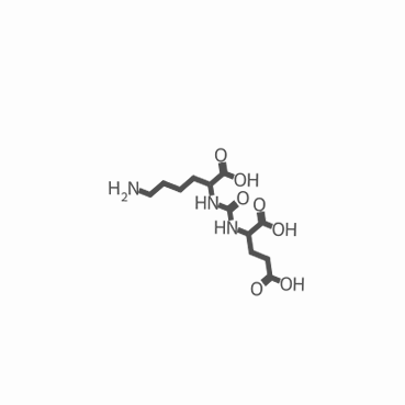 NCCCCC(NC(=O)NC(CCC(=O)O)C(=O)O)C(=O)O